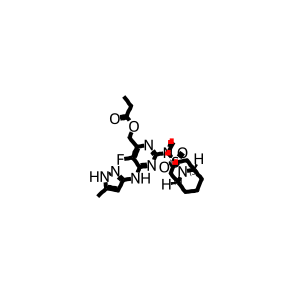 CCC(=O)OCc1nc(N(C)[C@H]2C[C@H]3CCC[C@@H](C2)N3S(=O)(=O)CC)nc(Nc2cc(C)[nH]n2)c1F